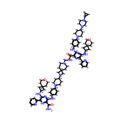 NC(=O)c1nc(-c2ccccn2)c(NC2CC3(CCOCC3)C2)nc1Nc1ccc(N2CCC(N3CC4(CCN(CNC(=O)c5nc(-c6ccccn6)c(NC6CC7(CCOCC7)C6)nc5Nc5ccc(N6CCC(N7CCN(C8CC8)CC7)CC6)cc5)CC4)C3)CC2)cc1